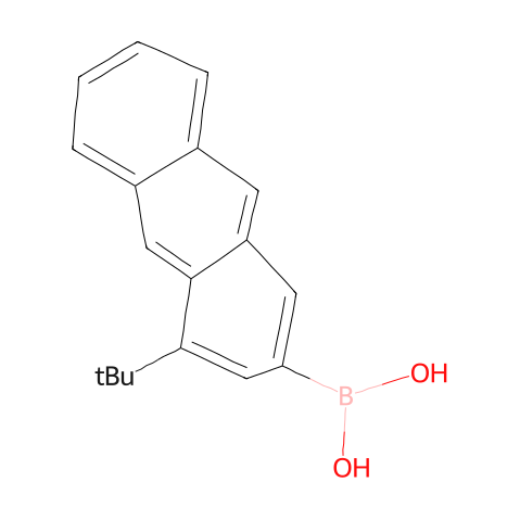 CC(C)(C)c1cc(B(O)O)cc2cc3ccccc3cc12